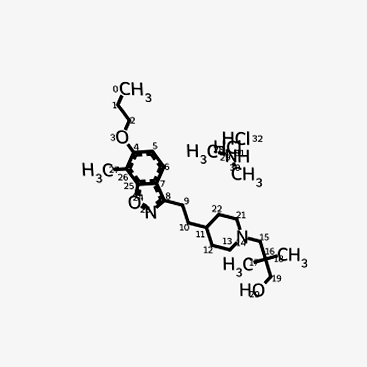 CCCOc1ccc2c(CCC3CCN(CC(C)(C)CO)CC3)noc2c1C.CNC.Cl.Cl